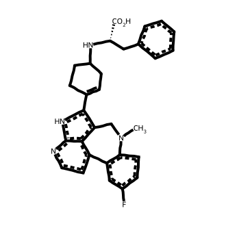 CN1Cc2c(C3=CCC(N[C@@H](Cc4ccccc4)C(=O)O)CC3)[nH]c3nccc(c23)-c2cc(F)ccc21